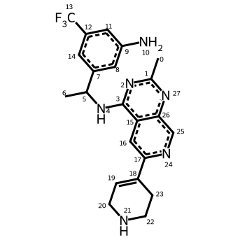 Cc1nc(NC(C)c2cc(N)cc(C(F)(F)F)c2)c2cc(C3=CCNCC3)ncc2n1